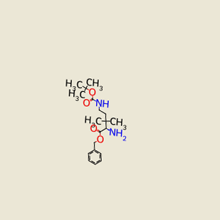 CC(C)(C)OC(=O)NCCC(C)(C)[C@@H](N)C(=O)OCc1ccccc1